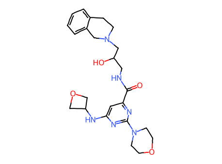 O=C(NCC(O)CN1CCc2ccccc2C1)c1cc(NC2COC2)nc(N2CCOCC2)n1